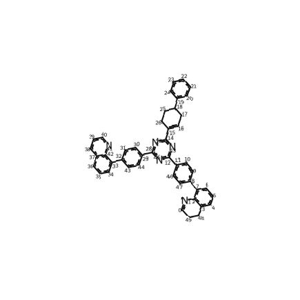 C1=Nc2c(cccc2-c2ccc(-c3nc(C4=CCC(c5ccccc5)CC4)nc(-c4ccc(-c5cccc6cccnc56)cc4)n3)cc2)CC1